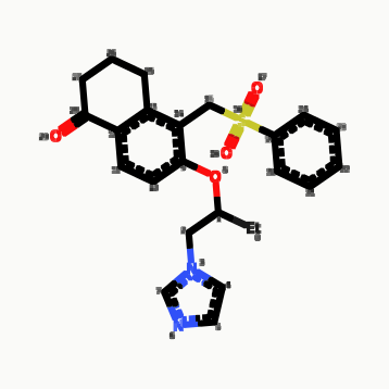 CCC(Cn1ccnc1)Oc1ccc2c(c1CS(=O)(=O)c1ccccc1)CCCC2=O